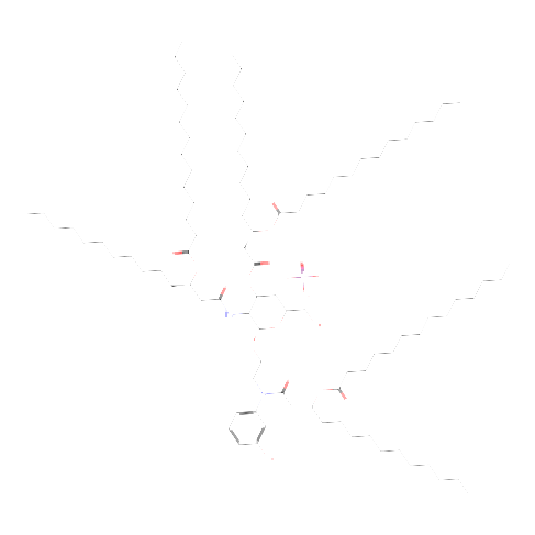 CCCCCCCCCCCCCC(=O)O[C@H](CCCCCCCCCCC)CC(=O)NC1C(OC(=O)C[C@@H](CCCCCCCCCCC)OC(=O)CCCCCCCCCCCCC)[C@H](OP(=O)(O)O)C(CO)O[C@H]1OCCN(C(=O)C[C@@H](CCCCCCCCCCC)OC(=O)CCCCCCCCCCCCC)c1cccc(O)c1